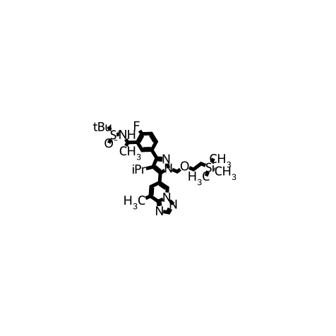 Cc1cc(-c2c(C(C)C)c(-c3ccc(F)c(C(C)N[S+]([O-])C(C)(C)C)c3)nn2COCC[Si](C)(C)C)cn2ncnc12